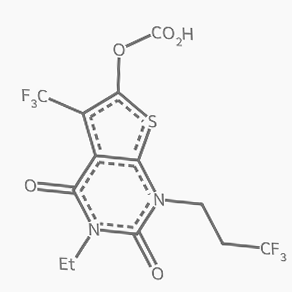 CCn1c(=O)c2c(C(F)(F)F)c(OC(=O)O)sc2n(CCC(F)(F)F)c1=O